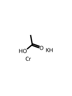 CC(=O)O.[Cr].[KH]